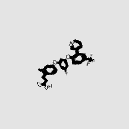 Cc1cc(Oc2cc(F)cc(Oc3ccc(C(F)(F)F)cc3-c3cccnc3)c2)ccc1CCC(=O)O